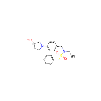 CC(C)CN(Cc1ccc(N2CC[C@H](O)C2)cc1)S(=O)(=O)Cc1ccccc1